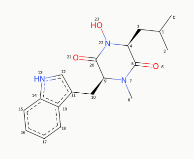 CC(C)C[C@H]1C(=O)N(C)[C@@H](Cc2c[nH]c3ccccc23)C(=O)N1O